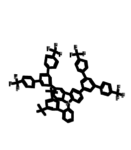 CC(C)(C)c1cc(-c2ccccc2-n2c3ccc(-c4cc(-c5ccc(C(F)(F)F)cc5)cc(-c5ccc(C(F)(F)F)cc5)c4)cc3c3cc(-c4cc(-c5ccc(C(F)(F)F)cc5)cc(-c5ccc(C(F)(F)F)cc5)c4)ccc32)cc(C(C)(C)C)c1